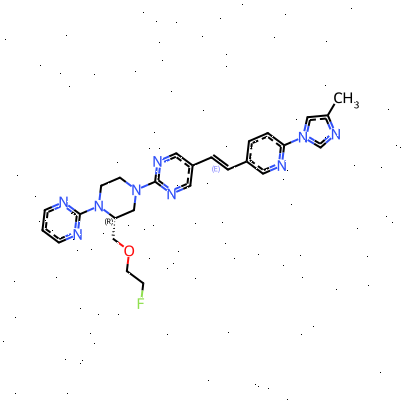 Cc1cn(-c2ccc(/C=C/c3cnc(N4CCN(c5ncccn5)[C@@H](COCCF)C4)nc3)cn2)cn1